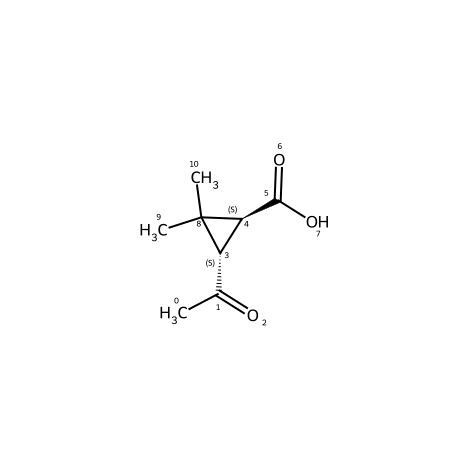 CC(=O)[C@H]1[C@H](C(=O)O)C1(C)C